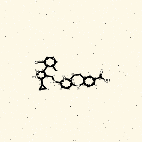 Cc1cccc(Cl)c1-c1noc(C2CC2)c1COc1ccc2c(n1)CCc1cc(C(=O)O)ccc1O2